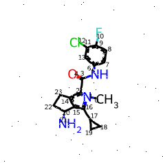 Cn1c(C(=O)Nc2ccc(F)c(Cl)c2)c2c(c1C1CC1)[C@@H](N)CC2